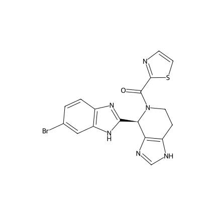 O=C(c1nccs1)N1CCc2[nH]cnc2[C@H]1c1nc2ccc(Br)cc2[nH]1